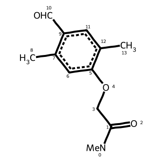 CNC(=O)COc1cc(C)c(C=O)cc1C